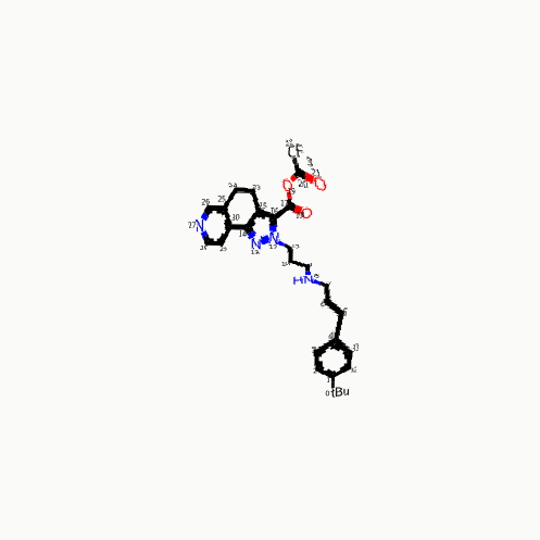 CC(C)(C)c1ccc(CCCNCCCn2nc3c(c2C(=O)OC(=O)C(F)(F)F)CCc2cnccc2-3)cc1